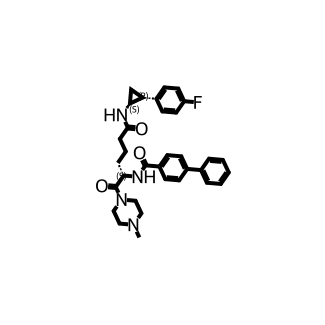 CN1CCN(C(=O)[C@H](CCCC(=O)N[C@H]2C[C@@H]2c2ccc(F)cc2)NC(=O)c2ccc(-c3ccccc3)cc2)CC1